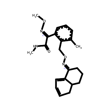 CNC(=O)/C(=N/OC)c1cccc(C)c1CO/N=C1\CCCC2CC=CC=C12